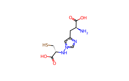 N[C@@H](Cc1cn(N[C@@H](CS)C(=O)O)cn1)C(=O)O